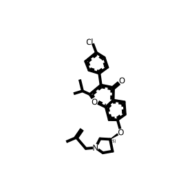 C=C(C)CN1CC[C@H](Oc2ccc3c(=O)c(-c4ccc(Cl)cc4)c(C(C)C)oc3c2)C1